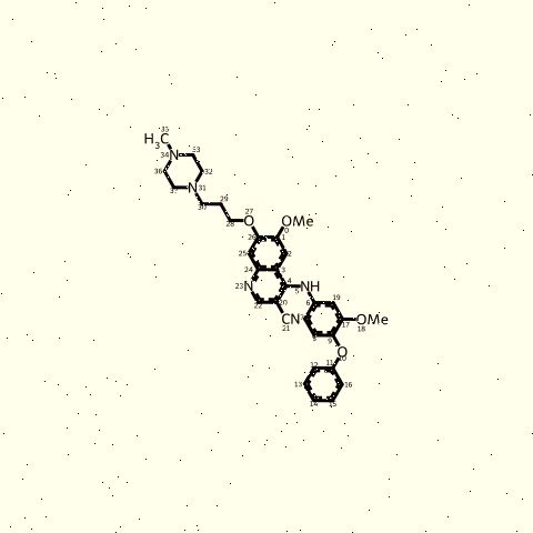 COc1cc2c(Nc3ccc(Oc4ccccc4)c(OC)c3)c(C#N)cnc2cc1OCCCN1CCN(C)CC1